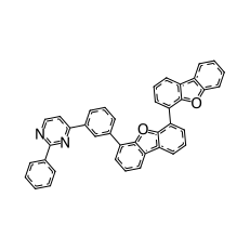 c1ccc(-c2nccc(-c3cccc(-c4cccc5c4oc4c(-c6cccc7c6oc6ccccc67)cccc45)c3)n2)cc1